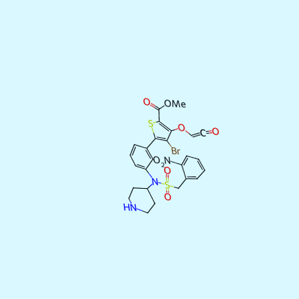 COC(=O)c1sc(-c2cccc(N(C3CCNCC3)S(=O)(=O)Cc3ccccc3[N+](=O)[O-])c2)c(Br)c1OC=C=O